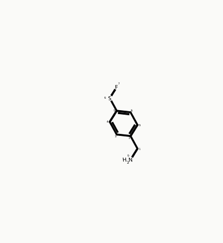 NCc1ccc(SF)cc1